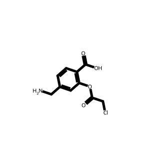 NCc1ccc(C(=O)O)c(OC(=O)CCl)c1